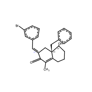 CC1=C2CCC[C@H](O)[C@@]2(Cc2ccccc2)C/C(=C\c2cccc(Br)c2)C1=O